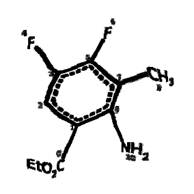 CCOC(=O)c1cc(F)c(F)c(C)c1N